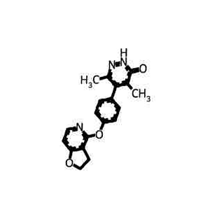 Cc1n[nH]c(=O)c(C)c1-c1ccc(Oc2nccc3c2CCO3)cc1